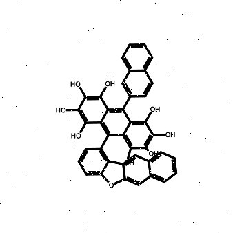 Oc1c(O)c(O)c2c(-c3cccc4oc5cc6ccccc6cc5c34)c3c(O)c(O)c(O)c(O)c3c(-c3ccc4ccccc4c3)c2c1O